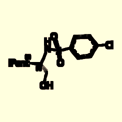 CCC[C@H](C)[C@@H](CO)NS(=O)(=O)c1ccc(Cl)cc1